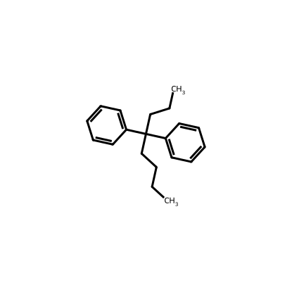 CCCCC(CCC)(c1ccccc1)c1ccccc1